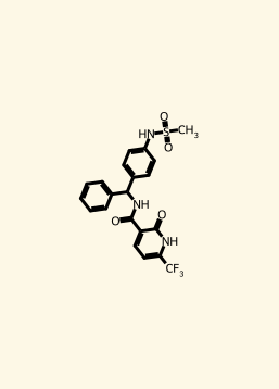 CS(=O)(=O)Nc1ccc(C(NC(=O)c2ccc(C(F)(F)F)[nH]c2=O)c2ccccc2)cc1